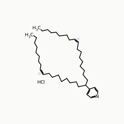 CCCCCCCC/C=C\CCCCCCCCC(CCCCCCCC/C=C\CCCCCCCC)c1ccncc1.Cl